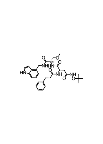 COC[C@H](NC(=O)C(CC(=O)NOC(C)(C)C)NC(=O)CCc1ccccc1)C(=O)NCc1cccc2[nH]ccc12